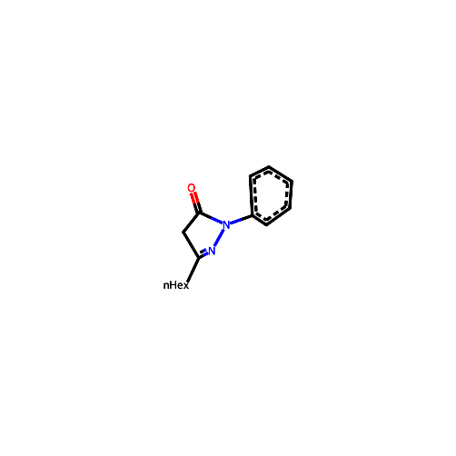 CCCCCCC1=NN(c2ccccc2)C(=O)C1